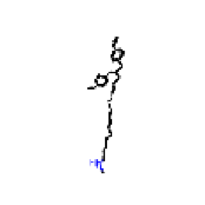 C=Cc1ccc(CC(CCCCCCCCCCCCCCCNC)Cc2ccc(C=C)cc2)cc1